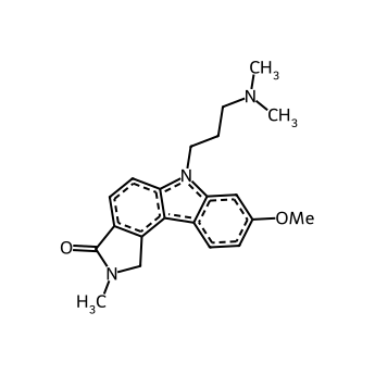 COc1ccc2c3c4c(ccc3n(CCCN(C)C)c2c1)C(=O)N(C)C4